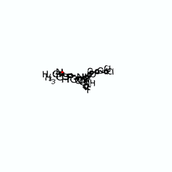 Cc1nccc(Oc2ccc(C[C@H](NC(=O)[C@@H]3Cc4cc5c(cc4CN3C(=O)Nc3cccc(F)c3)O[C@@H](c3ccc(OCc4ccc(Cl)c(Cl)c4)cc3)CO5)C(=O)O)cc2)c1C